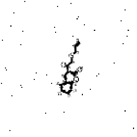 C=CCSCC(=O)c1cc2ccccc2oc1=O